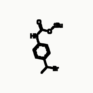 CC(Br)c1ccc(NC(=O)OC(C)(C)C)cc1